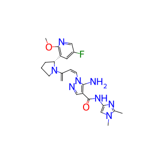 C=C(/C=C\n1ncc(C(=O)Nc2cn(C)c(C)n2)c1N)N1CCC[C@@H]1c1cc(F)cnc1OC